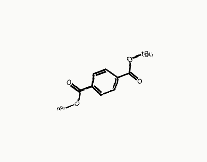 CCCOC(=O)c1ccc(C(=O)OC(C)(C)C)cc1